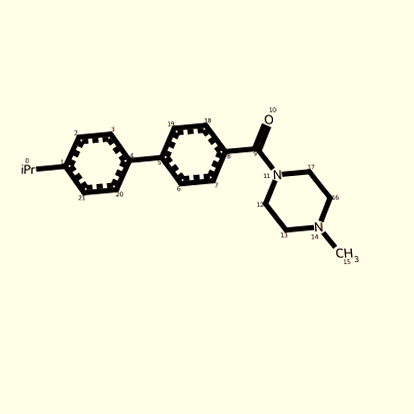 CC(C)c1ccc(-c2ccc(C(=O)N3CCN(C)CC3)cc2)cc1